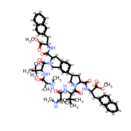 CN[C@@H](C)C(=O)NC(C(=O)N1Cc2cc(C3CC(C(=O)NC(Cc4ccc5ccccc5c4)C(=O)OC)N(C(=O)C(NC(=O)[C@H](C)NC)C(C)(C)C)C3)ccc2CC1C(=O)NC(Cc1ccc2ccccc2c1)C(=O)OC)C(C)(C)C